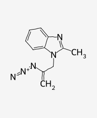 C=C(Cn1c(C)nc2ccccc21)N=[N+]=[N-]